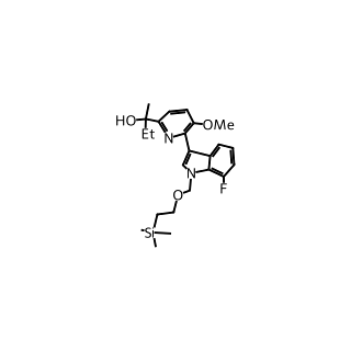 CCC(C)(O)c1ccc(OC)c(-c2cn(COCC[Si](C)(C)C)c3c(F)cccc23)n1